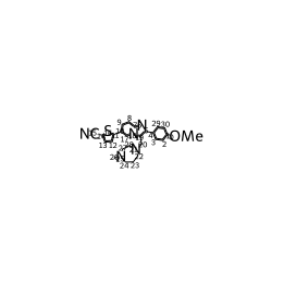 COc1ccc(-c2nc3ccc(-c4ccc(C#N)s4)cn3c2CN2CCCN(C)CC2)cc1